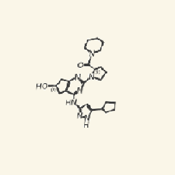 O=C([C@H]1CCCN1c1nc2c(c(Nc3cc(C4CCCC4)[nH]n3)n1)C[C@@H](O)C2)N1CCCCC1